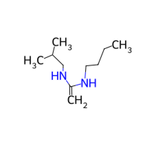 C=C(NCCCC)NCC(C)C